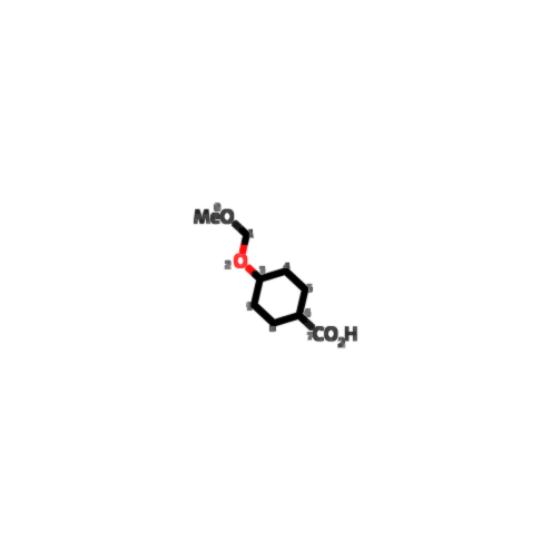 COCOC1CCC(C(=O)O)CC1